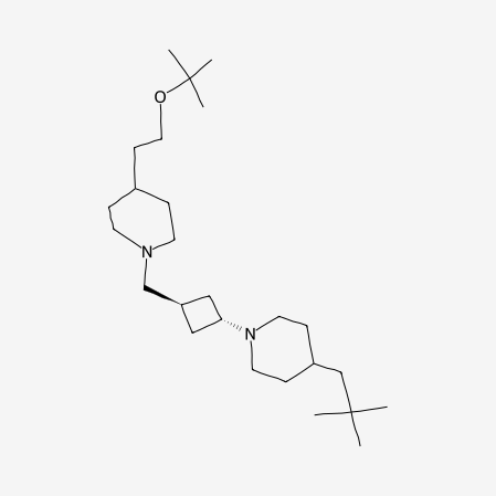 CC(C)(C)CC1CCN([C@H]2C[C@H](CN3CCC(CCOC(C)(C)C)CC3)C2)CC1